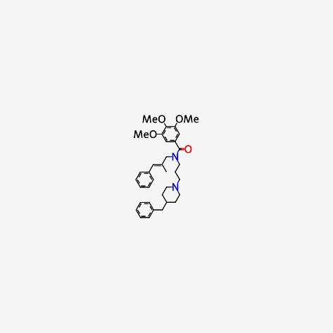 COc1cc(C(=O)N(CCCN2CCC(Cc3ccccc3)CC2)C/C(C)=C/c2ccccc2)cc(OC)c1OC